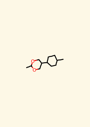 CC1CCC(C2COC(C)OC2)CC1